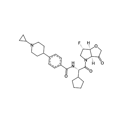 O=C(N[C@H](C(=O)N1C[C@H](F)[C@H]2OCC(=O)[C@H]21)C1CCCC1)c1ccc(C2CCN(C3CC3)CC2)cc1